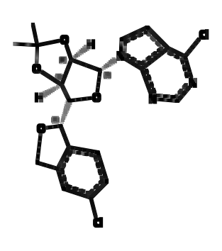 CC1(C)O[C@@H]2[C@H](O1)C([C@H]1OCc3cc(Cl)ccc31)O[C@H]2n1ccc2c(Cl)ncnc21